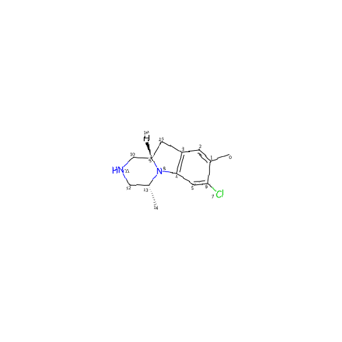 Cc1cc2c(cc1Cl)N1[C@H](CNC[C@H]1C)C2